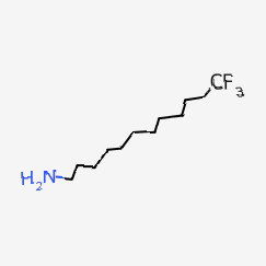 NCCCCCCCCCCCC(F)(F)F